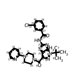 CC(C)(C)n1nc(C(=O)N2CCN(c3ccccn3)CC2)c2sc(NC(=O)c3cccc(Cl)c3)nc21